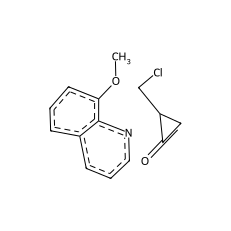 COc1cccc2cccnc12.O=C1CC1CCl